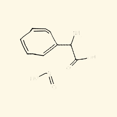 NC(C(=O)O)c1ccccc1.O=NO